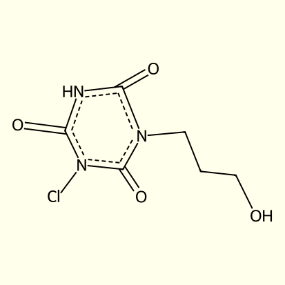 O=c1[nH]c(=O)n(CCCO)c(=O)n1Cl